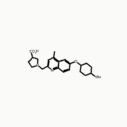 Cc1cc(CN2CCC(C(=O)O)C2)nc2ccc(OC3CCC(C(C)(C)C)CC3)cc12